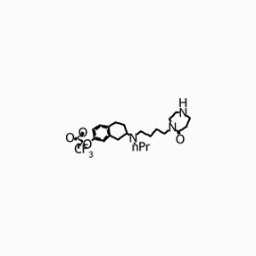 CCCN(CCCCN1CCNCCC1=O)C1CCc2ccc(OS(=O)(=O)C(F)(F)F)cc2C1